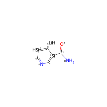 NC(=O)[si]1cnc[siH]c1.[LiH]